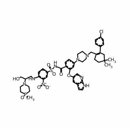 CC1(C)CCC(CN2CCN(c3ccc(C(=O)NS(=O)(=O)c4ccc(NCC(CO)N5CCP(C)(=O)CC5)c([N+](=O)[O-])c4)c(Oc4cnc5[nH]ccc5c4)c3)CC2)=C(c2ccc(Cl)cc2)C1